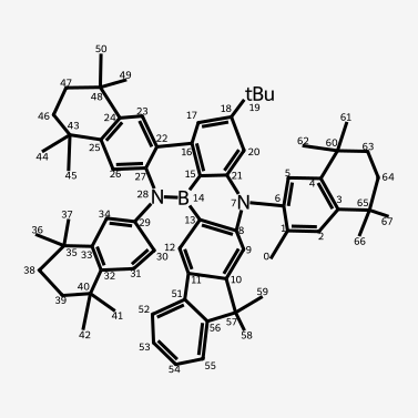 Cc1cc2c(cc1N1c3cc4c(cc3B3c5c(cc(C(C)(C)C)cc51)-c1cc5c(cc1N3c1ccc3c(c1)C(C)(C)CCC3(C)C)C(C)(C)CCC5(C)C)-c1ccccc1C4(C)C)C(C)(C)CCC2(C)C